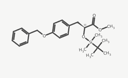 COC(=O)[C@H](Cc1ccc(OCc2ccccc2)cc1)O[Si](C)(C)C(C)(C)C